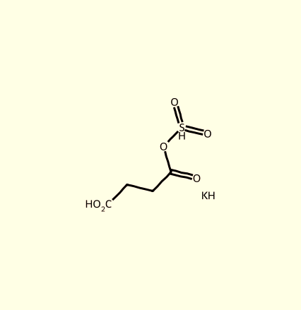 O=C(O)CCC(=O)O[SH](=O)=O.[KH]